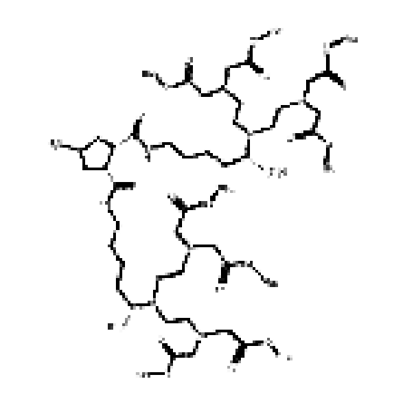 CC(C)(C)OC(=O)CN(CCN(CCN(CC(=O)OC(C)(C)C)CC(=O)OC(C)(C)C)[C@@H](CCCCNC(=O)[C@H]1CC(N)C[C@H]1C(=O)NCCCC[C@@H](C(=O)O)N(CCN(CC(=O)OC(C)(C)C)CC(=O)OC(C)(C)C)CCN(CC(=O)OC(C)(C)C)CC(=O)OC(C)(C)C)C(=O)O)CC(=O)OC(C)(C)C